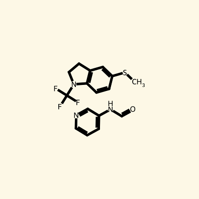 CSc1ccc2c(c1)CCN2C(F)(F)F.O=CNc1cccnc1